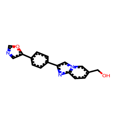 OCc1ccc2nc(-c3ccc(-c4cnco4)cc3)cn2c1